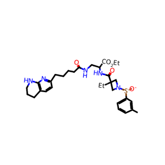 CCOC(=O)C(CNC(=O)CCCCc1ccc2c(n1)NCCC2)NC(=O)C1(CC)CN([S+]([O-])c2cccc(C)c2)C1